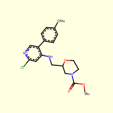 COc1ccc(-c2cnc(Cl)cc2NCC2CN(C(=O)OC(C)(C)C)CCO2)cc1